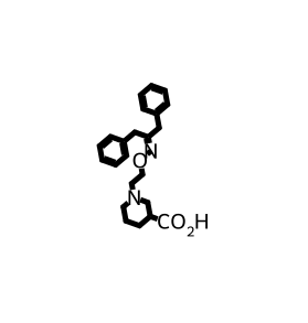 O=C(O)C1CCCN(CCON=C(Cc2ccccc2)Cc2ccccc2)C1